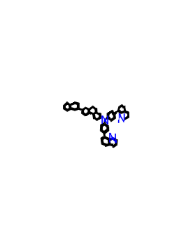 c1ccc2cc(-c3ccc4c(ccc5cc(N(c6ccc(-c7cccc8cccnc78)cc6)c6ccc(-c7cccc8cccnc78)cc6)ccc54)c3)ccc2c1